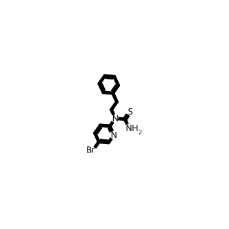 NC(=S)N(CCc1ccccc1)c1ccc(Br)cn1